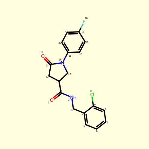 O=C(NCc1ccccc1Cl)C1CC(=O)N(c2ccc(F)cc2)C1